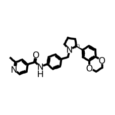 Cc1cc(C(=O)Nc2ccc(CN3CCC[C@H]3c3ccc4c(c3)OCCO4)cc2)ccn1